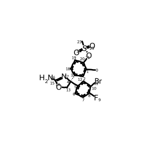 Cc1cc([C@]2(c3ccc(F)c(Br)c3)COC(N)=N2)ccc1OS(C)(=O)=O